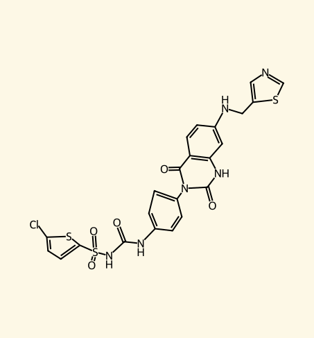 O=C(Nc1ccc(-n2c(=O)[nH]c3cc(NCc4cncs4)ccc3c2=O)cc1)NS(=O)(=O)c1ccc(Cl)s1